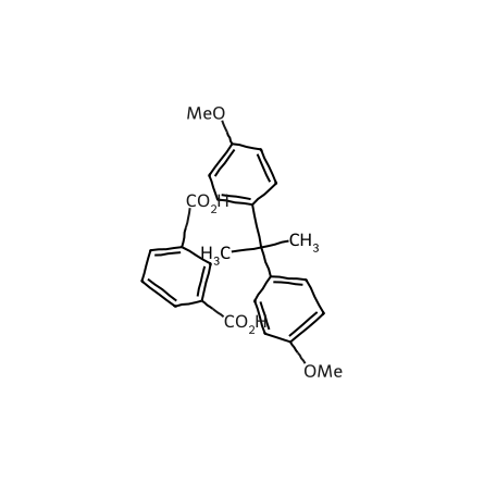 COc1ccc(C(C)(C)c2ccc(OC)cc2)cc1.O=C(O)c1cccc(C(=O)O)c1